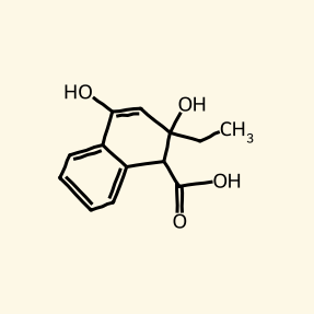 CCC1(O)C=C(O)c2ccccc2C1C(=O)O